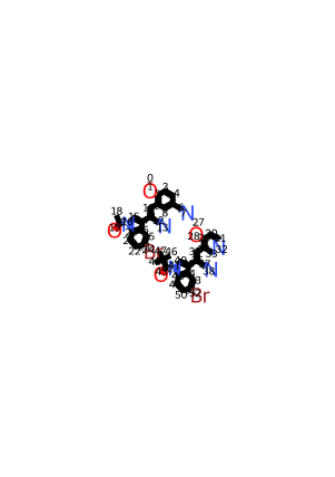 COc1ccc(C#N)cc1/C=C(\C#N)c1cn(C(C)=O)c2ccc(Br)cc12.COc1ccncc1/C=C(\C#N)c1cn(C(=O)C(C)(C)C)c2ccc(Br)cc12